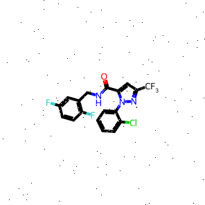 O=C(NCc1cc(F)ccc1F)c1cc(C(F)(F)F)nn1-c1ccccc1Cl